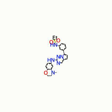 CCS(=O)(=O)Nc1cccc(-c2ccc3cnc(Nc4ccc5c(c4)N(C)CCO5)nn23)c1